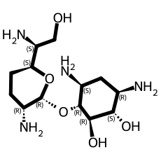 N[C@@H]1CC[C@@H]([C@@H](N)CO)O[C@@H]1O[C@H]1[C@H](O)[C@@H](O)[C@H](N)C[C@@H]1N